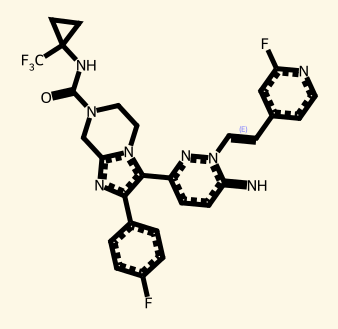 N=c1ccc(-c2c(-c3ccc(F)cc3)nc3n2CCN(C(=O)NC2(C(F)(F)F)CC2)C3)nn1/C=C/c1ccnc(F)c1